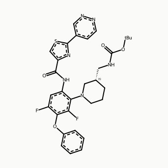 CC(C)(C)OC(=O)NC[C@@H]1CCCN(c2c(NC(=O)c3csc(-c4ccnnc4)n3)cc(F)c(Oc3ccccc3)c2F)C1